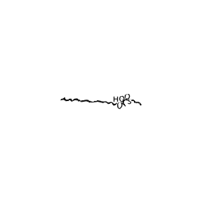 CCCCCCCCCCCCCCCCOC(C)[C@H](O)C(=O)SCCCC